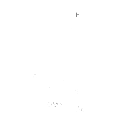 COC(=O)C(SC(C)=O)c1ccc(F)cc1